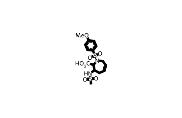 COc1ccc(S(=O)(=O)N2CC=CCC(NS(C)(=O)=O)C2C(=O)O)cc1